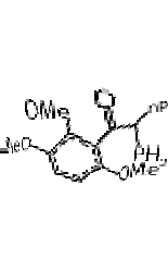 CCCC(P)C(=O)c1c(OC)ccc(OC)c1OC